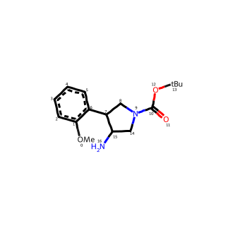 COc1ccccc1C1CN(C(=O)OC(C)(C)C)CC1N